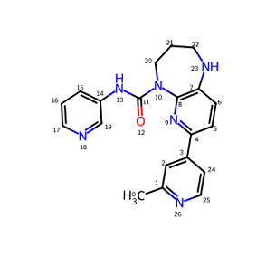 Cc1cc(-c2ccc3c(n2)N(C(=O)Nc2cccnc2)CCCN3)ccn1